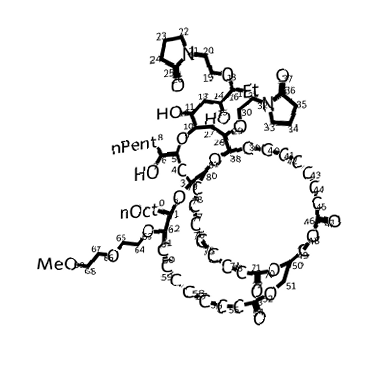 CCCCCCCCC1OC2CC(C(O)CCCCC)OC(C(O)CC(O)C(CC)OCCN3CCCC3=O)CC(OCCN3CCCC3=O)C3CCCCCCCC(=O)OCC(COC(=O)CCCCCCCC1OCCOCCOC)OC(=O)CCCCCCCC2O3